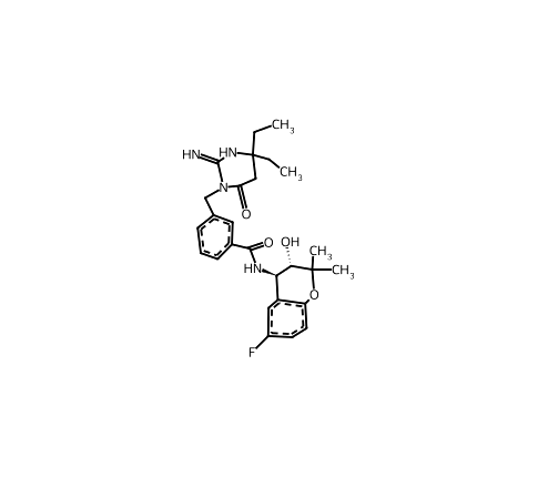 CCC1(CC)CC(=O)N(Cc2cccc(C(=O)N[C@@H]3c4cc(F)ccc4OC(C)(C)[C@H]3O)c2)C(=N)N1